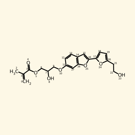 C=C(C)C(=O)OCC(O)COc1ccc2cc(-c3ccc(CCO)o3)oc2c1